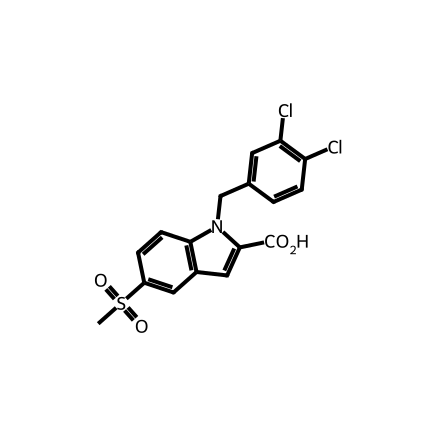 CS(=O)(=O)c1ccc2c(c1)cc(C(=O)O)n2Cc1ccc(Cl)c(Cl)c1